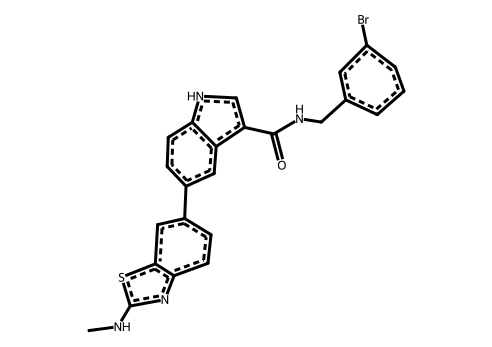 CNc1nc2ccc(-c3ccc4[nH]cc(C(=O)NCc5cccc(Br)c5)c4c3)cc2s1